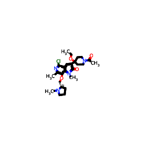 CCOC1(c2cc3c(Cl)nc(C)c(OC[C@@H]4CCCN4C)c3n(C)c2=O)CCN(C(C)=O)CC1